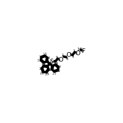 [18F]COCCOCCOCCSC(c1ccccc1)(c1ccccc1)c1ccccc1